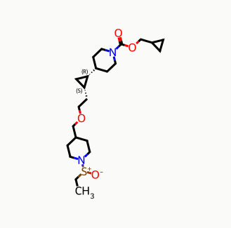 CC[S+]([O-])N1CCC(COCC[C@@H]2C[C@@H]2C2CCN(C(=O)OCC3CC3)CC2)CC1